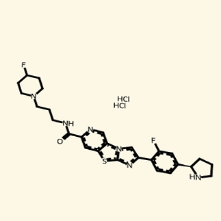 Cl.Cl.O=C(NCCCN1CCC(F)CC1)c1cc2sc3nc(-c4ccc([C@H]5CCCN5)cc4F)cn3c2cn1